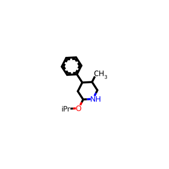 CC(C)OC1CC(c2ccccc2)C(C)CN1